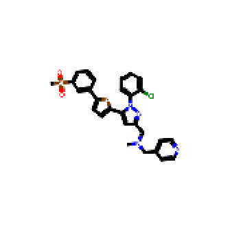 CN(Cc1ccncc1)Cc1cc(-c2ccc(-c3cccc(S(C)(=O)=O)c3)s2)n(-c2ccccc2Cl)n1